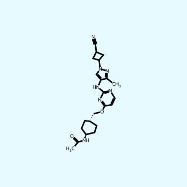 CC(=O)N[C@H]1CC[C@H](COc2ccnc(Nc3cn(C4CC(C#N)C4)nc3C)n2)CC1